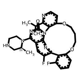 CC(C)c1nccc2c1-n1c(=O)nc(N3CCNC[C@@H]3C)c3cc(F)c(nc31)-c1c(F)cccc1OCCCO2